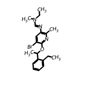 CCc1ccccc1C(C)Oc1nc(C)c(/N=C/N(C)CC)cc1Br